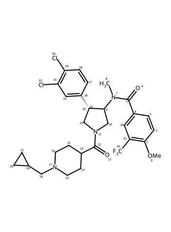 COc1ccc(C(=O)N(C)C2CN(C(=O)C3CCN(CC4CC4)CC3)C[C@@H]2c2ccc(Cl)c(Cl)c2)cc1C(F)(F)F